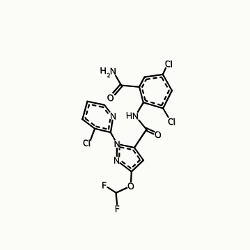 NC(=O)c1cc(Cl)cc(Cl)c1NC(=O)c1cc(OC(F)F)nn1-c1ncccc1Cl